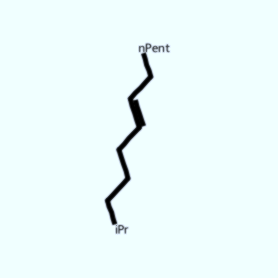 CCCCCCC=CCCCC(C)C